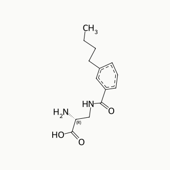 CCCCc1cccc(C(=O)NC[C@@H](N)C(=O)O)c1